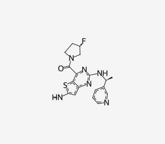 CNc1cc2nc(N[C@@H](C)c3cccnc3)nc(C(=O)N3CC[C@@H](F)C3)c2s1